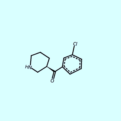 O=C(c1cccc(Cl)c1)[C@@H]1CCCNC1